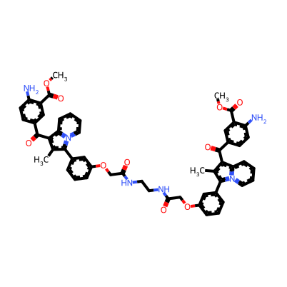 COC(=O)c1cc(C(=O)c2c(C)c(-c3cccc(OCC(=O)NCCNC(=O)COc4cccc(-c5c(C)c(C(=O)c6ccc(N)c(C(=O)OC)c6)c6ccccn56)c4)c3)n3ccccc23)ccc1N